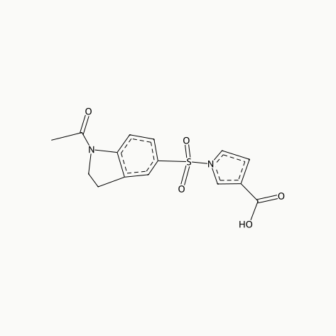 CC(=O)N1CCc2cc(S(=O)(=O)n3ccc(C(=O)O)c3)ccc21